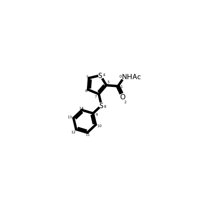 CC(=O)NC(=O)c1sccc1Sc1ccccc1